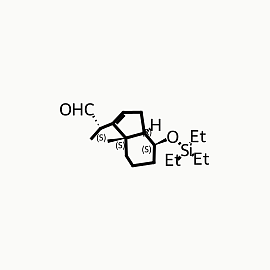 CC[Si](CC)(CC)O[C@H]1CCC[C@]2(C)C([C@H](C)C=O)=CC[C@@H]12